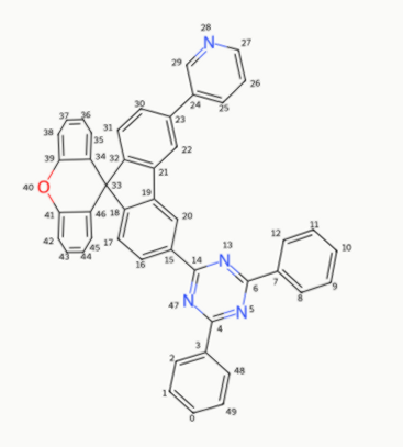 c1ccc(-c2nc(-c3ccccc3)nc(-c3ccc4c(c3)-c3cc(-c5cccnc5)ccc3C43c4ccccc4Oc4ccccc43)n2)cc1